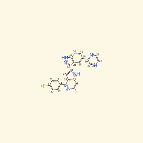 Fc1ccc(-c2nccc3[nH]c(-c4n[nH]c5ccc(-c6cnccn6)cc45)cc23)cc1